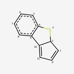 C1=CC2Sc3ccccc3C2=C1